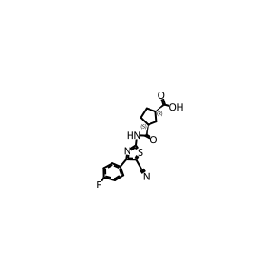 N#Cc1sc(NC(=O)[C@H]2CC[C@@H](C(=O)O)C2)nc1-c1ccc(F)cc1